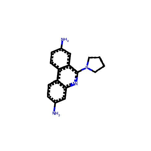 Nc1ccc2c(c1)nc(N1CCCC1)c1cc(N)ccc12